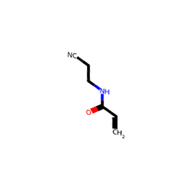 C=CC(=O)NCCC#N